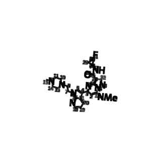 CNc1cc(-c2cn(CCN3CCN(C)CC3)c3ncccc23)nc2c(C(=O)N[C@H]3C[C@H]3F)cnn12